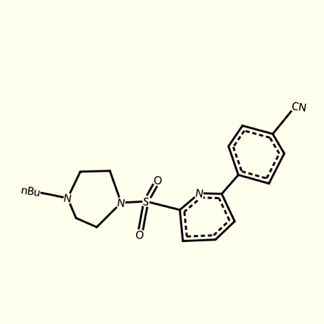 CCCCN1CCN(S(=O)(=O)c2cccc(-c3ccc(C#N)cc3)n2)CC1